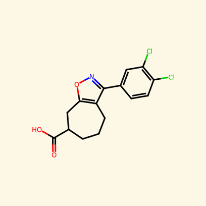 O=C(O)C1CCCc2c(-c3ccc(Cl)c(Cl)c3)noc2C1